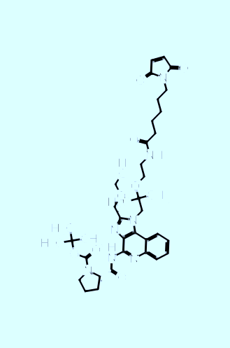 CCOCc1nc2c(NC(=O)[C@@H]3CCCN3C(=O)OC(C)(C)C)nc3ccccc3c2n1CC(C)(C)OCCNC(=O)CCCCCN1C(=O)C=CC1=O